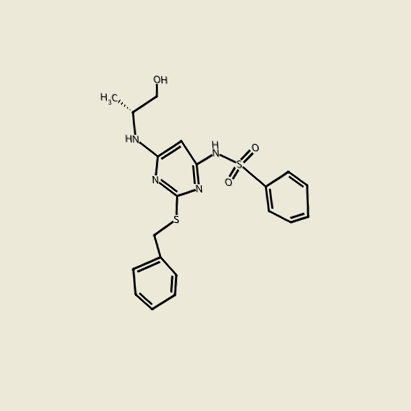 C[C@H](CO)Nc1cc(NS(=O)(=O)c2ccccc2)nc(SCc2ccccc2)n1